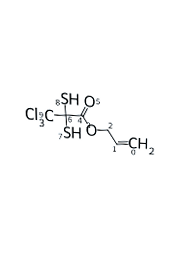 C=CCOC(=O)C(S)(S)C(Cl)(Cl)Cl